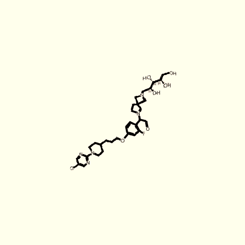 O=CC(c1ccc(OCCCC2CCN(c3ncc(Cl)cn3)CC2)cc1F)N1CCC2(CN(C[C@H](O)[C@H](O)[C@H](O)CO)C2)C1